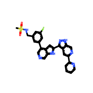 CS(=O)(=O)NCc1cc(F)cc(-c2cncc3[nH]c(-c4n[nH]c5cnc(-c6ccccn6)cc45)cc23)c1